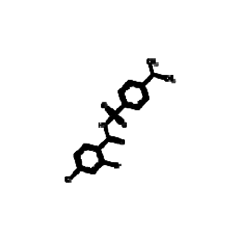 CC(C)c1ccc(S(=O)(=O)NC(=O)c2ccc(Cl)cc2Br)cc1